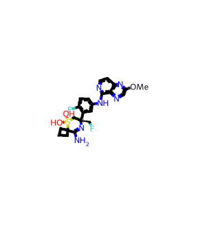 COc1cnc2c(Nc3ccc(F)c([C@@]4(CF)CS(O)(O)C5(CCC5)C(N)=N4)c3)nccc2n1